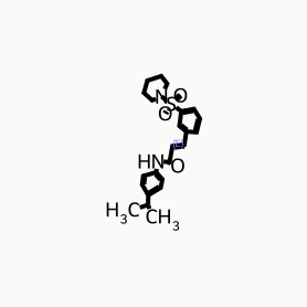 CC(C)c1ccc(NC(=O)/C=C/c2cccc(S(=O)(=O)N3CCCCC3)c2)cc1